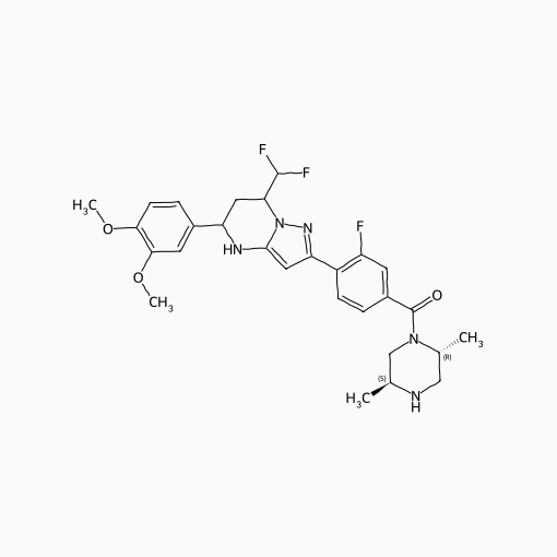 COc1ccc(C2CC(C(F)F)n3nc(-c4ccc(C(=O)N5C[C@H](C)NC[C@H]5C)cc4F)cc3N2)cc1OC